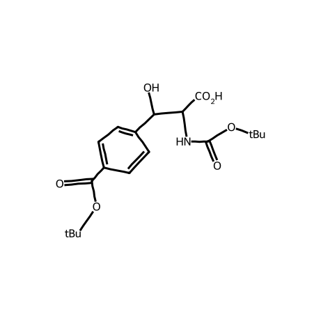 CC(C)(C)OC(=O)NC(C(=O)O)C(O)c1ccc(C(=O)OC(C)(C)C)cc1